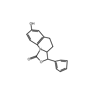 O=C1OC(c2ccccc2)C2CCc3cc(O)ccc3N12